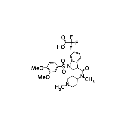 COc1ccc(S(=O)(=O)N2CC(C(=O)N(C)C3CCN(C)CC3)c3ccccc32)cc1OC.O=C(O)C(F)(F)F